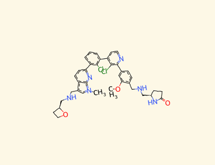 COc1cc(-c2nccc(-c3cccc(-c4ccc5c(CNC[C@@H]6CCO6)cn(C)c5n4)c3Cl)c2Cl)ccc1CNC[C@H]1CCC(=O)N1